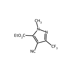 CCOC(=O)c1c(C#N)c(C(F)(F)F)nn1C